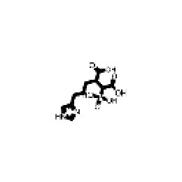 O=C(O)C(CCCc1c[nH]cn1)C(C(=O)O)P(=O)(O)O